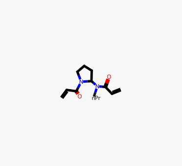 C=CC(=O)N(CCC)C1CCCN1C(=O)C=C